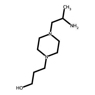 CC(N)CN1CCN(CCCO)CC1